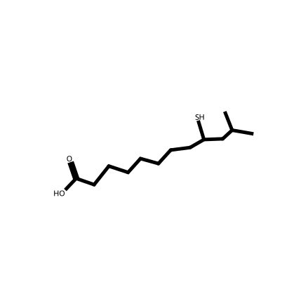 CC(C)CC(S)CCCCCCCC(=O)O